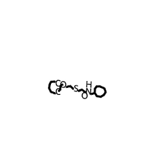 O=C(CCSCCCOC1CCCCCCCCC1)NCC1CCCCCCCC1